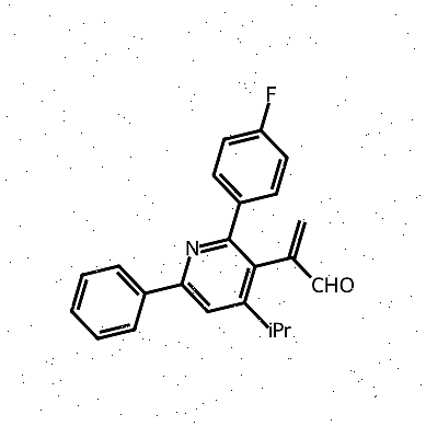 C=C(C=O)c1c(C(C)C)cc(-c2ccccc2)nc1-c1ccc(F)cc1